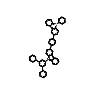 c1ccc(-c2cc(-c3ccccc3)cc(-n3c4ccccc4c4cc(-c5ccc(-c6ccc7c(c6)c6ccccc6n7-c6ccccc6)cc5)ccc43)c2)cc1